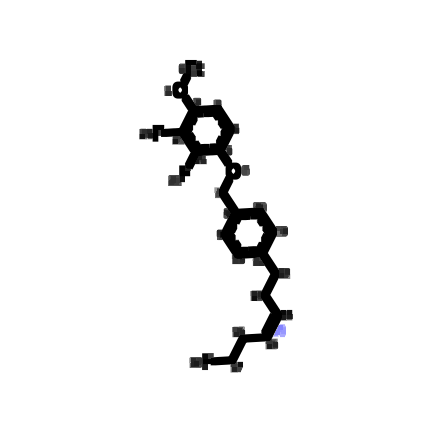 CCOc1ccc(OCc2ccc(CC/C=C\CCF)cc2)c(F)c1F